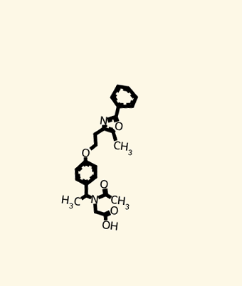 CC(=O)N(CC(=O)O)C(C)c1ccc(OCCc2nc(-c3ccccc3)oc2C)cc1